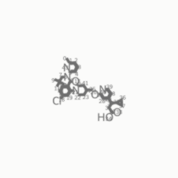 Cc1cccc(N(CC(C)(C)C)C(=O)c2ccc(Cl)cc2N2CCC(COc3cc(C(CC(=O)O)C4CC4)ccn3)CC2)n1